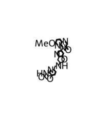 COc1ccc2ncc(=O)n(-c3cnc4c(c3)OCC(NCc3ccc5c(n3)NC(=O)CO5)C4)c2n1